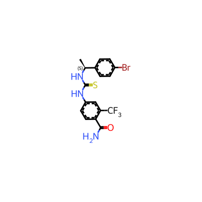 C[C@H](NC(=S)Nc1ccc(C(N)=O)c(C(F)(F)F)c1)c1ccc(Br)cc1